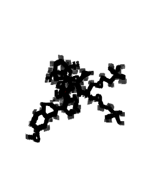 COc1ccc2ccc(-c3cnn4c3N[C@H]([C@H]3C[C@H]5CC[C@@H](C3)N5C(=O)OC(C)(C)C)C(C3CC3)=C4N(COCC[Si](C)(C)C)COCC[Si](C)(C)C)cc2c1